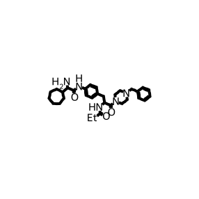 CCC(=O)NC(Cc1ccc(NC(=O)C(N)C2CCCCCC2)cc1)C(=O)N1CCN(Cc2ccccc2)CC1